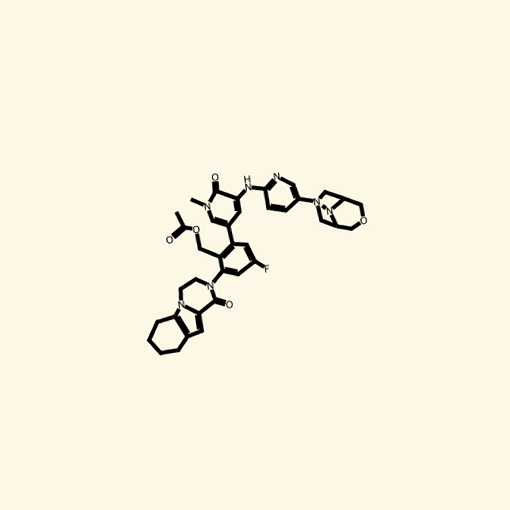 CC(=O)OCc1c(-c2cc(Nc3ccc(N4CC5COCC(C4)N5C)cn3)c(=O)n(C)c2)cc(F)cc1N1CCn2c(cc3c2CCCC3)C1=O